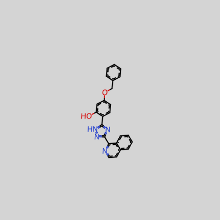 Oc1cc(OCc2ccccc2)ccc1-c1nc(-c2nccc3ccccc23)n[nH]1